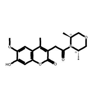 COc1cc2c(C)c(CC(=O)N3[C@@H](C)COC[C@@H]3C)c(=O)oc2cc1O